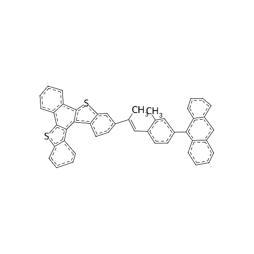 C/C(=C\c1ccc(-c2c3ccccc3cc3ccccc23)cc1C)c1ccc2c(c1)sc1c3ccccc3c3sc4ccccc4c3c21